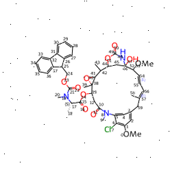 COc1cc2cc(c1Cl)N(C)C(=O)CC(OC(=O)[C@H](C)N(C)C(=O)OCC1c3ccccc3-c3ccccc31)C1(C)OC1C(C)C1CC(O)(NC(=O)O1)C(OC)/C=C/C=C(\C)C2